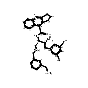 CCc1cccc(CNC[C@@H](OC(=O)c2c3c(nc4ccccc24)CCC3)[C@@H](N)Cc2cc(F)cc(F)c2)c1